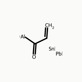 C=C[C](=O)[Al].[Pb].[Sn]